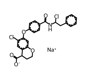 O=C(NC(Cl)Cc1ccccc1)c1ccc(Oc2cc3c(cc2Cl)C(C(=O)[O-])CCO3)cc1.[Na+]